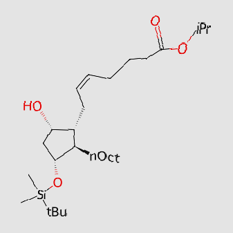 CCCCCCCC[C@@H]1[C@@H](C/C=C\CCCC(=O)OC(C)C)[C@@H](O)C[C@H]1O[Si](C)(C)C(C)(C)C